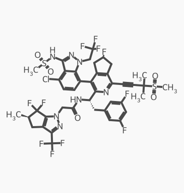 C[C@@H]1Cc2c(C(F)(F)F)nn(CC(=O)N[C@@H](Cc3cc(F)cc(F)c3)c3nc(C#CC(C)(C)S(C)(=O)=O)c4c(c3-c3ccc(Cl)c5c(NS(C)(=O)=O)nn(CC(F)(F)F)c35)C[C@H](F)C4)c2C1(F)F